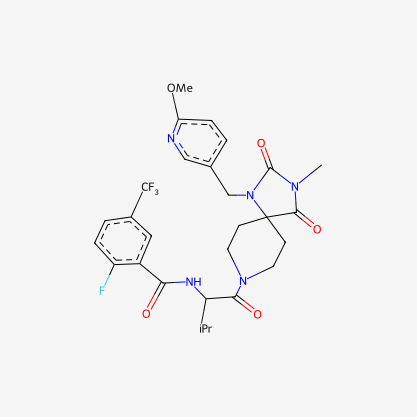 COc1ccc(CN2C(=O)N(C)C(=O)C23CCN(C(=O)C(NC(=O)c2cc(C(F)(F)F)ccc2F)C(C)C)CC3)cn1